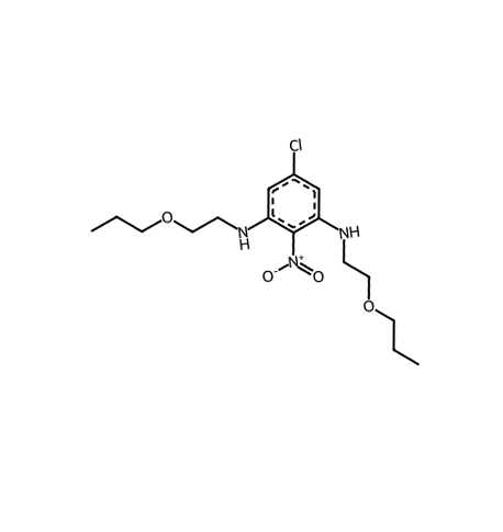 CCCOCCNc1cc(Cl)cc(NCCOCCC)c1[N+](=O)[O-]